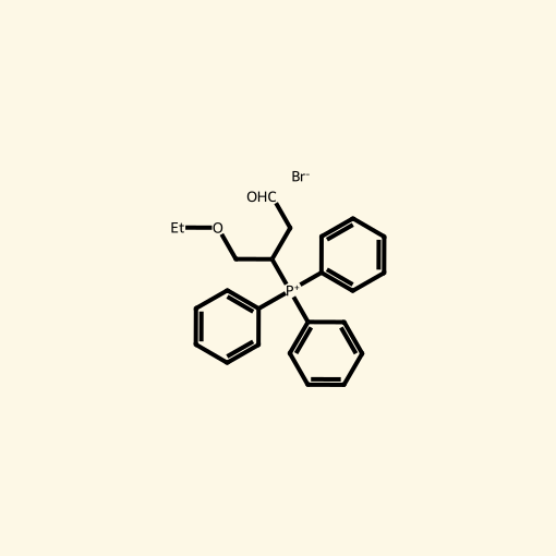 CCOCC(CC=O)[P+](c1ccccc1)(c1ccccc1)c1ccccc1.[Br-]